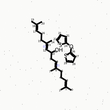 CC(C)=CCC/C(C)=C/CC(O)/C=C(\C)CCC=C(C)C.c1csc(Oc2cccs2)c1